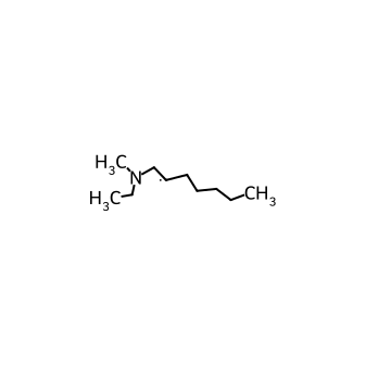 CCCCC[CH]CN(C)CC